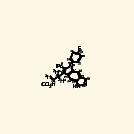 [2H]C(C(=O)O)C([2H])([2H])c1c(C(C)C)n(-c2ccc(F)cc2)c2cc3cn[nH]c3cc12